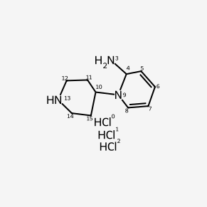 Cl.Cl.Cl.NC1C=CC=CN1C1CCNCC1